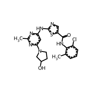 Cc1nc(Nc2ncc(C(=O)Nc3c(C)cccc3Cl)s2)cc(N2CCC(O)C2)n1